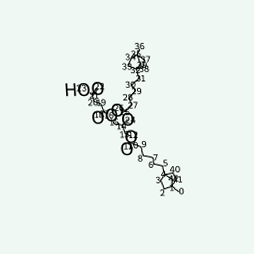 CC12CCC(CCCCCC(=O)OCC(COC(=O)CCC(=O)O)OC(=O)CCCCCC34CCC(C)(CC3)C4)(CC1)C2